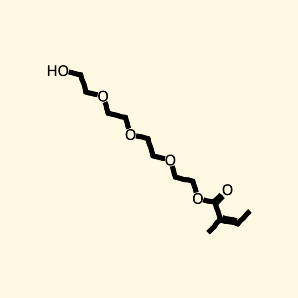 CC=C(C)C(=O)OCCOCCOCCOCCO